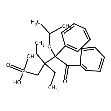 CCC(CC)(CP(=O)(O)O)C(OC(C)C)(C(=O)c1ccccc1)c1ccccc1